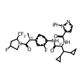 CC(C)n1nccc1C(=O)N[C@H](C(=O)Nc1ccc([C@H](C)C(=O)N2CC(F)CC2C(F)(F)F)cc1F)C(C1CC1)C1CC1